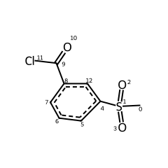 CS(=O)(=O)c1cccc(C(=O)Cl)c1